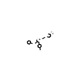 N#Cc1ccc(-c2nc(NCCNc3ccc([N+](=O)[O-])cn3)ncc2C(=O)OCc2ccccc2)cc1